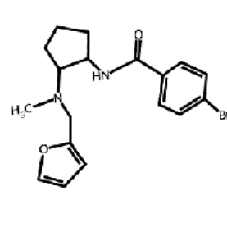 CN(Cc1ccco1)C1CCCC1NC(=O)c1ccc(Br)cc1